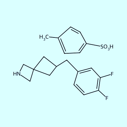 Cc1ccc(S(=O)(=O)O)cc1.Fc1ccc(CC2CC3(CNC3)C2)cc1F